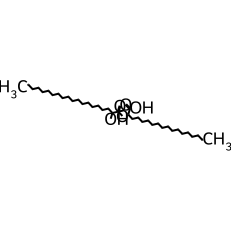 CCCCCCCCCCCCCCCCCCC(O)C(=O)OC(CCCCCCCCCCCCCCCC)C(=O)O